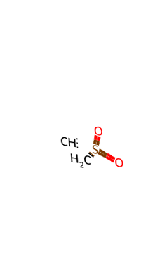 C=S(=O)=O.[CH]